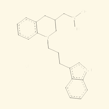 CN(C)CC1Cc2ccccc2N(CCCc2c[nH]c3ccccc23)C1.Cl